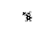 CC(C)(C)Oc1nc(Cl)nc2c(F)c(Br)c(Cl)cc12